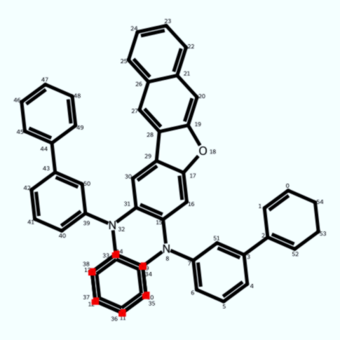 C1=CC(c2cccc(N(c3ccccc3)c3cc4oc5cc6ccccc6cc5c4cc3N(c3ccccc3)c3cccc(-c4ccccc4)c3)c2)=CCC1